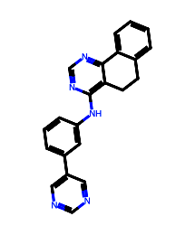 c1cc(Nc2ncnc3c2CCc2ccccc2-3)cc(-c2cncnc2)c1